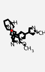 COCCC1(C#N)CC(N2C3CC[C@@H]2CN(c2ccnn4cc(-c5cnn(C)c5)cc24)C3)C1